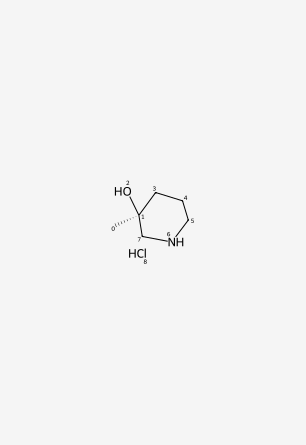 C[C@]1(O)CCCNC1.Cl